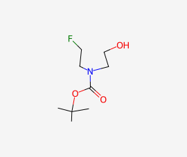 CC(C)(C)OC(=O)N(CCO)CCF